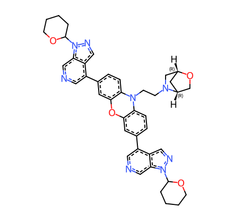 c1cc2c(cc1-c1cncc3c1cnn3C1CCCCO1)Oc1cc(-c3cncc4c3cnn4C3CCCCO3)ccc1N2CCN1C[C@H]2C[C@@H]1CO2